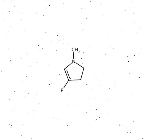 CN1C=C(F)CC1